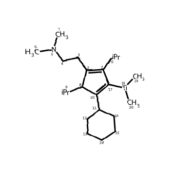 CC(C)C1=C(CCN(C)C)C(C(C)C)C(C2CCCCC2)=[C]1[Ti]([CH3])[CH3]